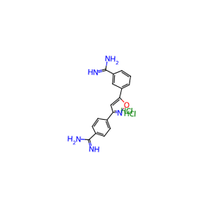 Cl.Cl.N=C(N)c1ccc(-c2cc(-c3cccc(C(=N)N)c3)on2)cc1